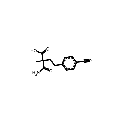 CC(CCc1ccc(C#N)cc1)(C(N)=O)C(=O)O